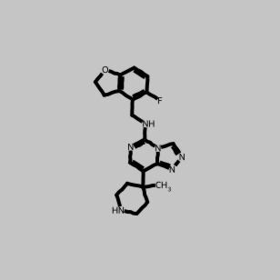 CC1(c2cnc(NCc3c(F)ccc4c3CCO4)n3cnnc23)CCNCC1